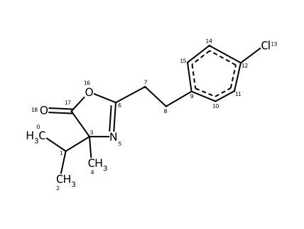 CC(C)C1(C)N=C(CCc2ccc(Cl)cc2)OC1=O